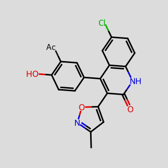 CC(=O)c1cc(-c2c(-c3cc(C)no3)c(=O)[nH]c3ccc(Cl)cc23)ccc1O